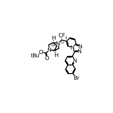 CC(C)(C)OC(=O)N1C[C@@H]2C[C@H]1CN2[C@@H](c1ccc2nnc(-c3ccc4ccc(Br)cc4n3)n2c1)C(F)(F)F